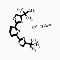 CC(C)(C)C1COC(c2cccc(C3=NC(C(C)(C)C)CO3)n2)=N1.[Cl-].[Cl-].[Cl-].[Co+3]